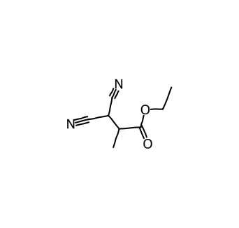 CCOC(=O)C(C)C(C#N)C#N